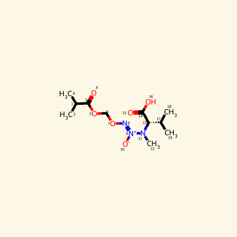 CC(C)C(=O)OCO/N=[N+](\[O-])N(C)[C@H](C(=O)O)C(C)C